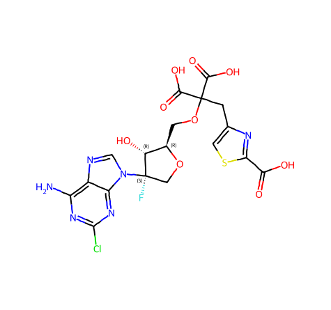 Nc1nc(Cl)nc2c1ncn2[C@]1(F)CO[C@H](COC(Cc2csc(C(=O)O)n2)(C(=O)O)C(=O)O)[C@H]1O